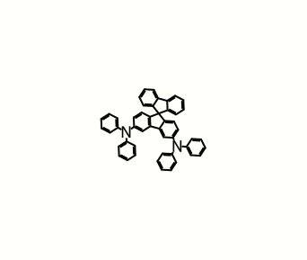 c1ccc(N(c2ccccc2)c2ccc3c(c2)-c2cc(N(c4ccccc4)c4ccccc4)ccc2C32c3ccccc3-c3ccccc32)cc1